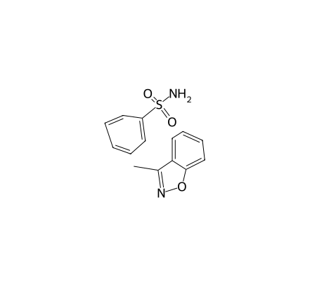 Cc1noc2ccccc12.NS(=O)(=O)c1ccccc1